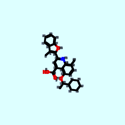 Cc1c(-c2cc(C(=O)O)c3c(O[C@H](C)C4CCCCC4)ccc(C)c3n2)oc2ccccc12